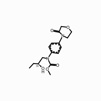 CC[C@H](O)CN(C(=O)OC)c1ccc(N2CCOCC2=O)cc1